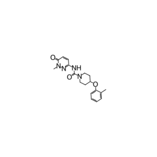 Cc1ccccc1OC1CCN(C(=O)Nc2ccc(=O)n(C)n2)CC1